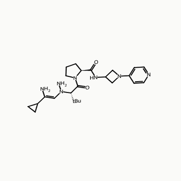 CC(C)(C)[C@@H](C(=O)N1CCC[C@H]1C(=O)NC1CN(c2ccncc2)C1)N(N)/C=C(\N)C1CC1